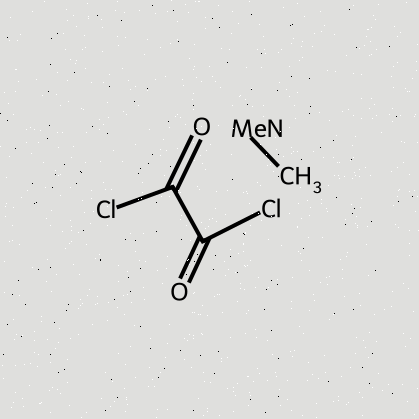 CNC.O=C(Cl)C(=O)Cl